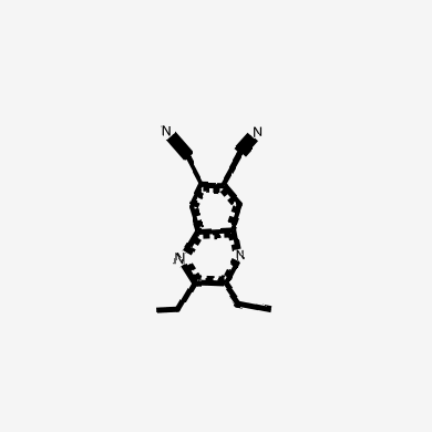 CCc1nc2cc(C#N)c(C#N)cc2nc1CC